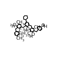 [2H]Oc1ccc(Cc2c(C)c(Cc3cc(C4CCCCC4)cc(Cc4cc(C)c(O[2H])c(Cc5ccc(C)cc5)c4C)c3O[2H])cc(C)c2O[2H])cc1